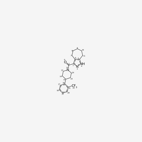 O=C(c1n[nH]c2c1CCCCC2)N1CCC(c2ccccc2C(F)(F)F)CC1